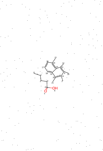 CCCCC(=O)O.Cc1c(C)c(C)c2c(C)cccc2c1C